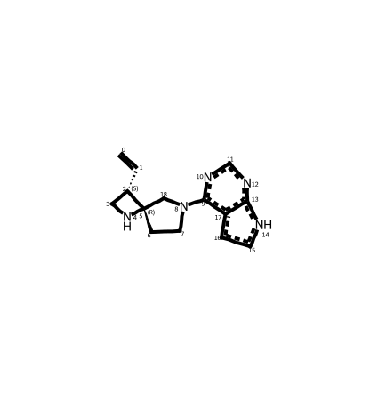 C=C[C@H]1CN[C@]12CCN(c1ncnc3[nH]ccc13)C2